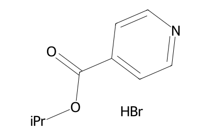 Br.CC(C)OC(=O)c1ccncc1